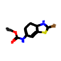 CC(C)(C)OC(=O)NC1=CCC2NC(Br)SC2=C1